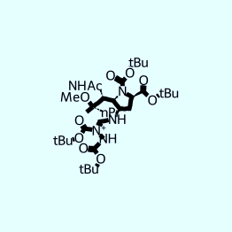 CCC[C@](C)(OC)[C@H](NC(C)=O)[C@H]1[C@H](NC=[N+](NC(=O)OC(C)(C)C)C(=O)OC(C)(C)C)C[C@H](C(=O)OC(C)(C)C)N1C(=O)OC(C)(C)C